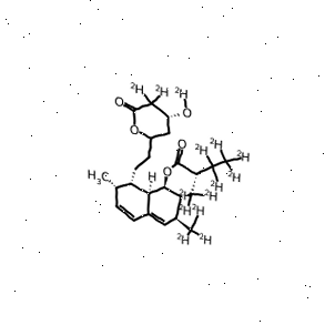 [2H]O[C@@H]1CC(CC[C@@H]2[C@@H]3C(=C[C@H](C([2H])([2H])[2H])C[C@@H]3OC(=O)[C@@H](C([2H])([2H])[2H])C([2H])([2H])C([2H])([2H])[2H])C=C[C@@H]2C)OC(=O)C1([2H])[2H]